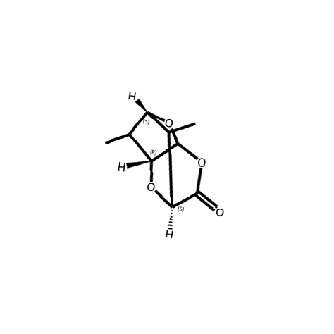 CC1[C@H]2O[C@@H]3C(=O)OC2O[C@@H]1C3C